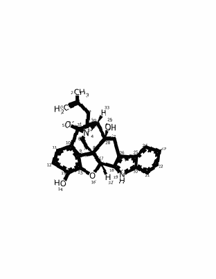 C=C(C)C[N+]1([O-])CC[C@]23c4c5ccc(O)c4O[C@H]2c2[nH]c4ccccc4c2C[C@@]3(O)[C@H]1C5